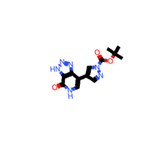 CC(C)(C)OC(=O)n1cc(-c2c[nH]c(=O)c3[nH]nnc23)cn1